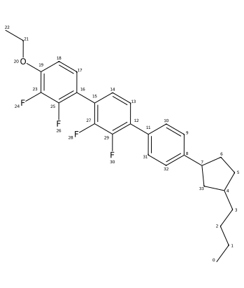 CCCCC1CCC(c2ccc(-c3ccc(-c4ccc(OCC)c(F)c4F)c(F)c3F)cc2)C1